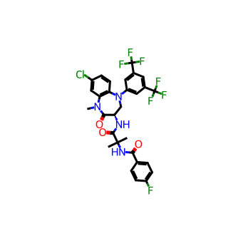 CN1C(=O)[C@H](NC(=O)C(C)(C)NC(=O)c2ccc(F)cc2)CN(c2cc(C(F)(F)F)cc(C(F)(F)F)c2)c2ccc(Cl)cc21